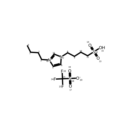 CCCC[n+]1ccn(CCCCS(=O)(=O)O)c1.O=S(=O)([O-])C(F)(F)F